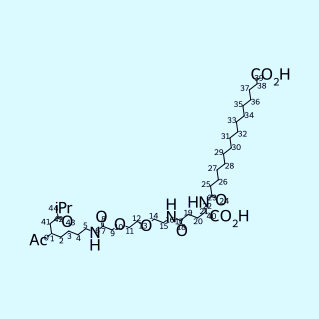 CC(=O)[C@H](CCCCNC(=O)COCCOCCNC(=O)CC[C@H](NC(=O)CCCCCCCCCCCCCCC(=O)O)C(=O)O)CC(=O)C(C)C